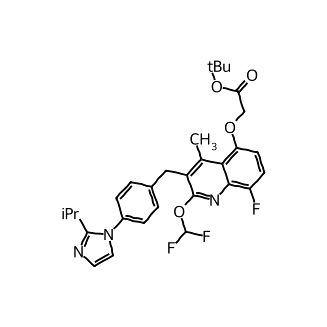 Cc1c(Cc2ccc(-n3ccnc3C(C)C)cc2)c(OC(F)F)nc2c(F)ccc(OCC(=O)OC(C)(C)C)c12